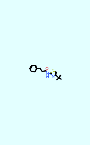 CC(C)(C)c1csc(NC(=O)CCc2ccccc2)n1